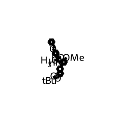 COc1ccc(C2CCc3cc(OC(=O)C(C)(C)C)ccc3C2)c(NC(C)C(=O)c2ccc(OCc3ccccc3)cn2)c1